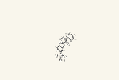 O=C(NO)c1ccc2c(c1)C[C@@]1(CCN(c3ccccc3)C1=O)C2